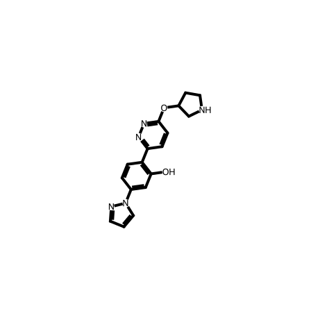 Oc1cc(-n2cccn2)ccc1-c1ccc(OC2CCNC2)nn1